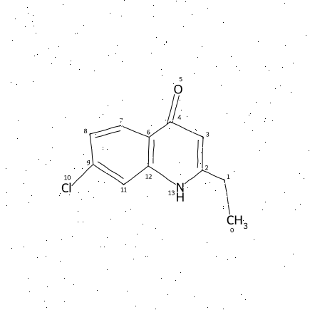 CCc1cc(=O)c2ccc(Cl)cc2[nH]1